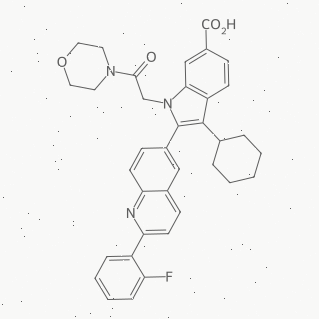 O=C(O)c1ccc2c(C3CCCCC3)c(-c3ccc4nc(-c5ccccc5F)ccc4c3)n(CC(=O)N3CCOCC3)c2c1